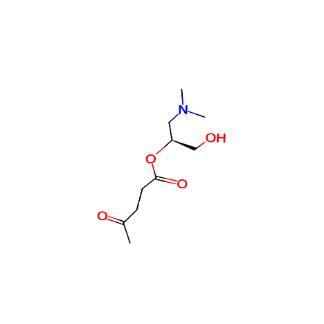 CC(=O)CCC(=O)O[C@H](CO)CN(C)C